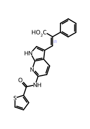 O=C(O)/C(=C\c1c[nH]c2nc(NC(=O)c3cccs3)ccc12)c1ccccc1